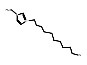 CCCCCCCCn1cc[n+](CCCCCCCCCCC(C)C)c1